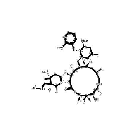 CCCNC[C@]1(O)[C@H](C)O[C@@H](O[C@H]2[C@H](C)[C@@H](O[C@@H]3O[C@H](C)C[C@H](NC)[C@H]3Oc3cccnc3OC)[C@](C)(O)C[C@@H](C)CN[C@H](C)[C@@H](O)[C@](C)(O)[C@@H](CC)OC(=O)[C@@H]2C)C[C@@]1(C)OC